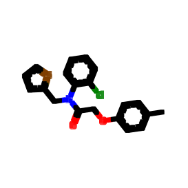 Cc1ccc(OCC(=O)N(Cc2cccs2)c2ccccc2Cl)cc1